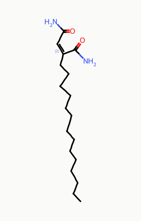 CCCCCCCCCCCCCC/C(=C/C(N)=O)C(N)=O